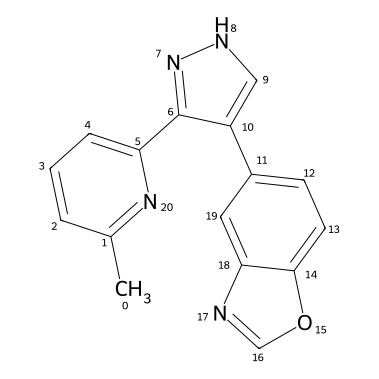 Cc1cccc(-c2n[nH]cc2-c2ccc3ocnc3c2)n1